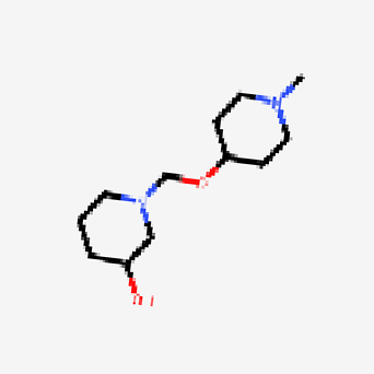 CN1CCC(OCN2CCCC(O)C2)CC1